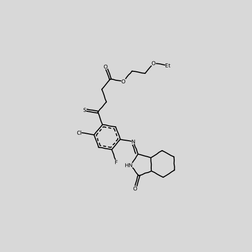 CCOCCOC(=O)CCC(=S)c1cc(N=C2NC(=O)C3CCCCC23)c(F)cc1Cl